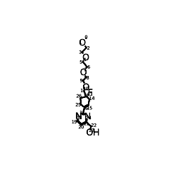 COCCOCCOCCOC[C@@]1(F)CC=C(c2nccc(CO)n2)CC1